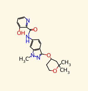 Cn1nc(OC2CCOC(C)(C)C2)c2ccc(NC(=O)c3ncccc3O)cc21